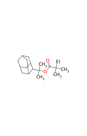 CCC(C)(C)C(=O)OC(C)(C)C1C2CC3CC(C2)CC1C3